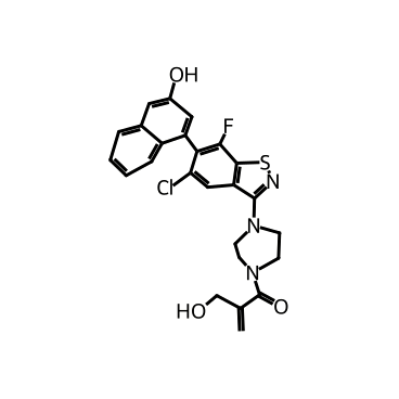 C=C(CO)C(=O)N1CCN(c2nsc3c(F)c(-c4cc(O)cc5ccccc45)c(Cl)cc23)CC1